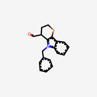 O=CC1CCSc2c1n(Cc1ccccc1)c1ccccc21